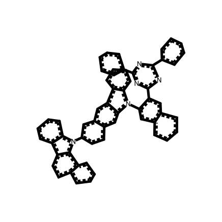 c1ccc(-c2nc(-c3ccccc3)nc(-c3cc4ccccc4cc3-n3c4ccccc4c4cc5cc(-n6c7ccccc7c7ccc8ccccc8c76)ccc5cc43)n2)cc1